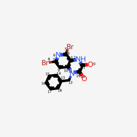 O=c1[nH]c2c(Br)nc(Br)cc2n(Cc2ccccc2)c1=O